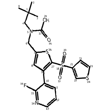 CC(C)(C)CN(Cc1cc(-c2cccnc2F)c(S(=O)(=O)c2ccsc2)s1)C(=O)O